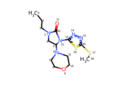 CCCN1CC(N2CCOCC2)N(c2nnc(SC)s2)C1=O